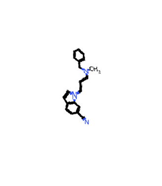 CN(CCCn1ccc2ccc(C#N)cc21)Cc1ccccc1